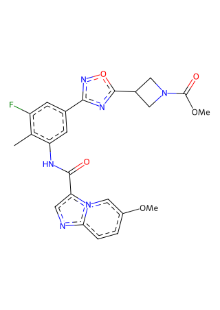 COC(=O)N1CC(c2nc(-c3cc(F)c(C)c(NC(=O)c4cnc5ccc(OC)cn45)c3)no2)C1